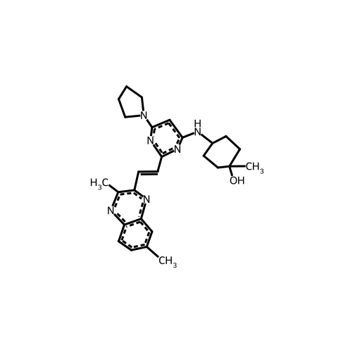 Cc1ccc2nc(C)c(/C=C/c3nc(NC4CCC(C)(O)CC4)cc(N4CCCC4)n3)nc2c1